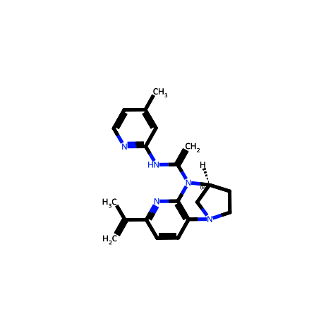 C=C(C)c1ccc2c(n1)N(C(=C)Nc1cc(C)ccn1)[C@H]1CCN2C1